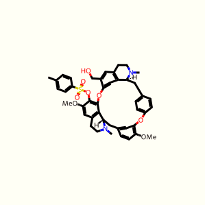 COc1ccc2cc1Oc1ccc(cc1)C[C@H]1c3cc(c(CO)cc3CCN1C)Oc1c(OS(=O)(=O)c3ccc(C)cc3)c(OC)cc3c1[C@H](C2)N(C)CC3